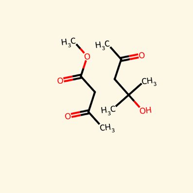 CC(=O)CC(C)(C)O.COC(=O)CC(C)=O